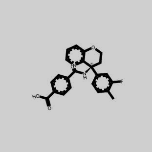 Cc1ccc([C@@]2(NC(=O)c3ccc(C(=O)O)cc3)CCOc3cccnc32)cc1F